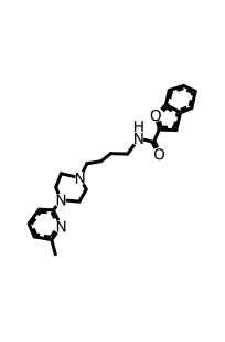 Cc1cccc(N2CCN(CCCCNC(=O)c3cc4ccccc4o3)CC2)n1